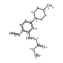 CC1CCN(c2cnc(C=N)c(NCC(=O)OC(C)(C)C)n2)CC1